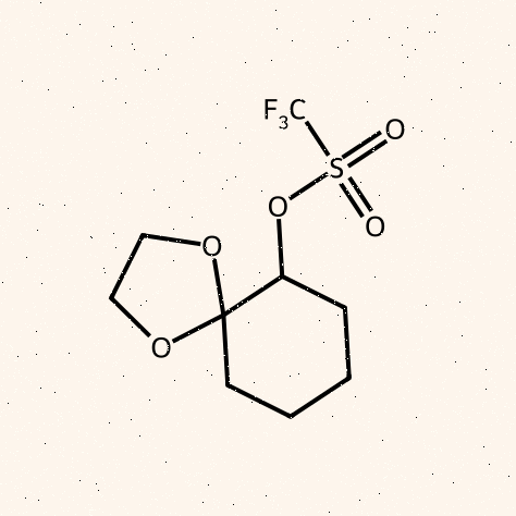 O=S(=O)(OC1CCCCC12OCCO2)C(F)(F)F